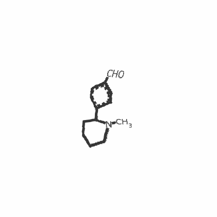 CN1CCCCC1c1ccc(C=O)cc1